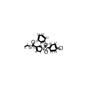 CCSC(=O)C1=CCN(S(=O)(=O)c2ccc(Cl)cc2)[C@H]1c1ccccc1